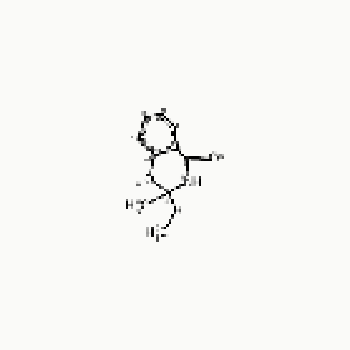 CCC1(C)NC(=O)c2ccccc2O1